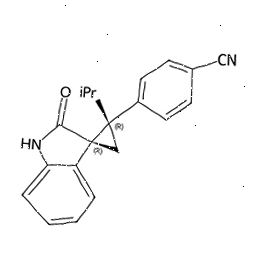 CC(C)[C@@]1(c2ccc(C#N)cc2)C[C@@]12C(=O)Nc1ccccc12